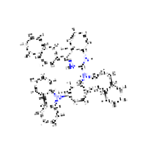 CC12C=CC=CC1N=C(n1c3cc(-n4c5ccccc5c5ccccc54)ccc3c3c4ccccc4ccc31)N=C2c1ccc2ccccc2c1